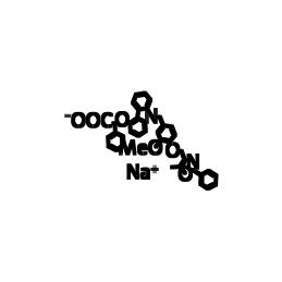 COc1cc(Cn2c3ccccc3c3c(OC(C(=O)[O-])c4ccccc4)cccc32)ccc1OCc1nc(-c2ccccc2)oc1C.[Na+]